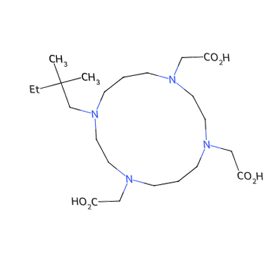 CCC(C)(C)CN1CCCN(CC(=O)O)CCN(CC(=O)O)CCCN(CC(=O)O)CC1